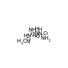 Cc1cc(Nc2cnc(NC(=O)NC(CN)c3ccccc3)cc2C=N)ccn1